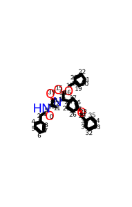 O=C(Cc1ccccc1)NC1CN(C(C(=O)OCc2ccccc2)c2ccc(OCc3ccccc3)cc2)C1=O